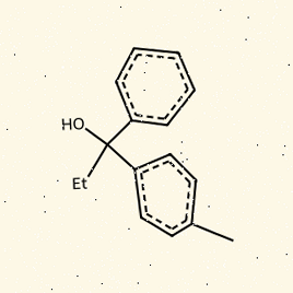 CCC(O)(c1ccccc1)c1ccc(C)cc1